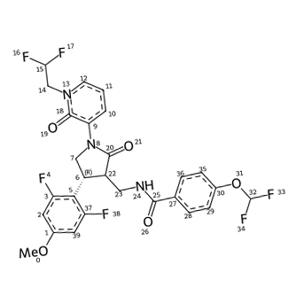 COc1cc(F)c([C@@H]2CN(c3cccn(CC(F)F)c3=O)C(=O)C2CNC(=O)c2ccc(OC(F)F)cc2)c(F)c1